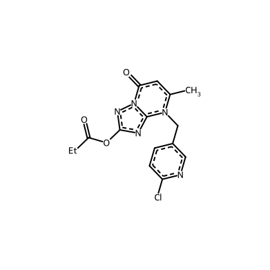 CCC(=O)Oc1nc2n(Cc3ccc(Cl)nc3)c(C)cc(=O)n2n1